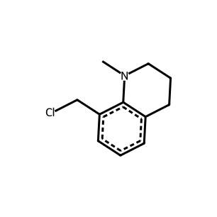 CN1CCCc2cccc(CCl)c21